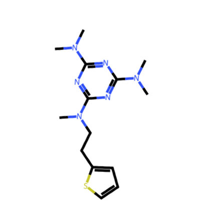 CN(C)c1nc(N(C)C)nc(N(C)CCc2cccs2)n1